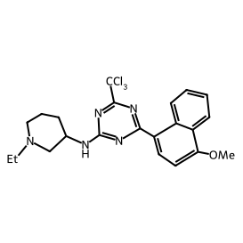 CCN1CCCC(Nc2nc(-c3ccc(OC)c4ccccc34)nc(C(Cl)(Cl)Cl)n2)C1